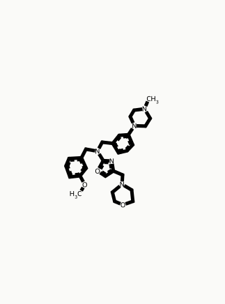 COc1cccc(CN(Cc2cccc(N3CCN(C)CC3)c2)c2nc(CN3CCOCC3)co2)c1